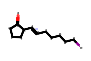 O=C1CCCC1/C=C/CCCCCI